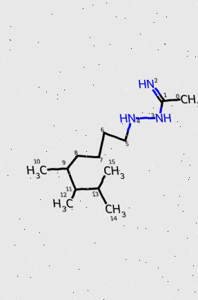 CC(=N)NNCCCCC(C)C(C)C(C)C